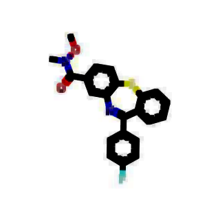 CON(C)C(=O)c1ccc2c(c1)N=C(c1ccc(F)cc1)c1ccccc1S2